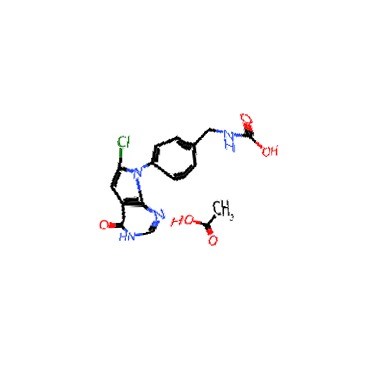 CC(=O)O.O=C(O)NCc1ccc(-n2c(Cl)cc3c(=O)[nH]cnc32)cc1